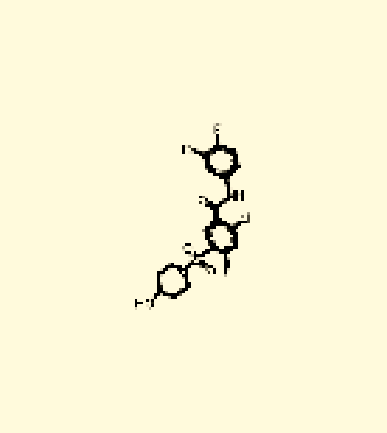 O=C(Nc1ccc(F)c(Cl)c1)c1cc(S(=O)(=O)N2CCC(O)CC2)c(F)cc1Cl